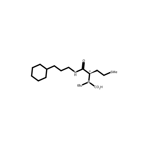 CSCC[C@H](C(=O)NCCCC1CCCCC1)N(C(=O)O)C(C)(C)C